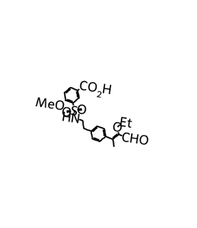 CCOC(C=O)=C(C)c1ccc(CCNS(=O)(=O)c2cc(C(=O)O)ccc2OC)cc1